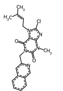 CC(C)=CCn1c(Cl)nc2c1c(=O)n(Cc1cc3ccccc3cn1)c(=O)n2C